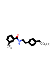 CCOC(=O)Cc1ccc(CCNC(=O)c2cccc(C(F)(F)F)c2)cc1